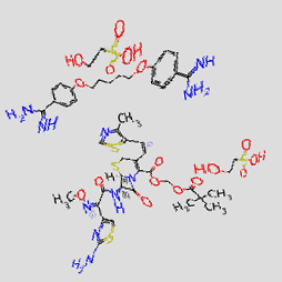 CO/N=C(\C(=O)N[C@@H]1C(=O)N2C(C(=O)OCOC(=O)C(C)(C)C)=C(/C=C\c3scnc3C)CS[C@H]12)c1csc(N)n1.N=C(N)c1ccc(OCCCCCOc2ccc(C(=N)N)cc2)cc1.O=S(=O)(O)CCO.O=S(=O)(O)CCO